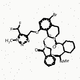 CNC(=O)C1CCCCC1C(=O)N1CCc2c(Br)ccc(OCc3nnn(C)c3C(F)F)c2[C@H]1CN1Cc2ccccc2C1=O